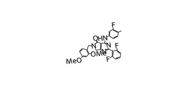 COc1ccc(CN2Cc3nc(-c4c(F)cccc4F)nc(Nc4ccc(C)c(F)c4)c3C2=O)c(OC)c1